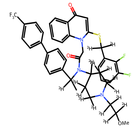 [2H]C([2H])(Sc1cc(=O)c2ccccc2n1CC(=O)N(C([2H])(C)c1ccc(-c2ccc(C(F)(F)F)cc2)cc1)C1([2H])C([2H])([2H])C([2H])([2H])N(C([2H])([2H])C([2H])([2H])OC)C([2H])([2H])C1([2H])[2H])c1cccc(F)c1F